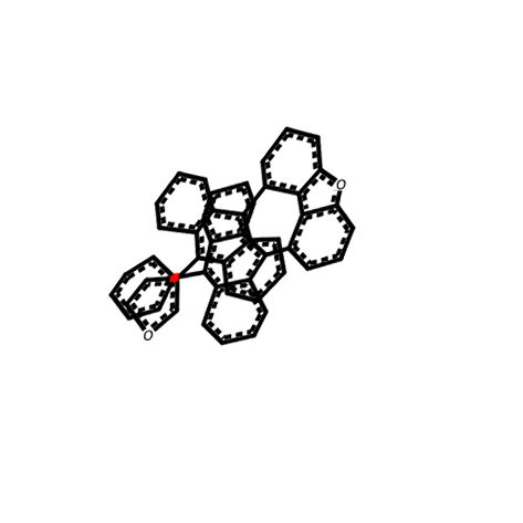 c1ccc(-c2c3ccccc3c(-c3cccc4oc5cccc(-c6c7ccccc7c(-c7ccoc7)c7ccccc67)c5c34)c3ccccc23)cc1